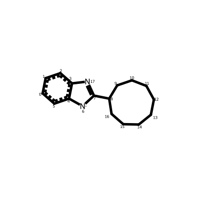 c1ccc2c(c1)[N]C(C1CCCCCCCC1)=N2